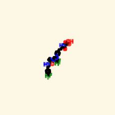 O=C(CCCC1CCN(c2cc(N3CC[C@H]3C(=O)NCCc3ccc(C(F)(F)F)cc3)nc(C(F)(F)F)n2)CC1)NCS(=O)(=O)O